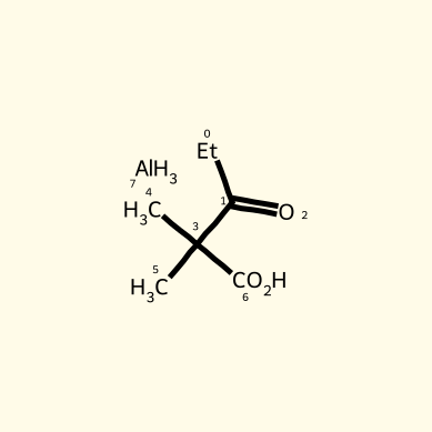 CCC(=O)C(C)(C)C(=O)O.[AlH3]